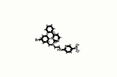 O=[N+]([O-])c1ccc(NCCN(Cc2cccc(Br)c2)c2nccc(-c3cc[c]cc3)n2)nc1